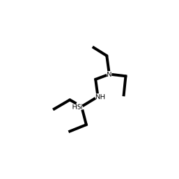 CCN(CC)CN[SiH](CC)CC